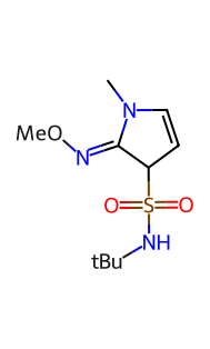 CON=C1C(S(=O)(=O)NC(C)(C)C)C=CN1C